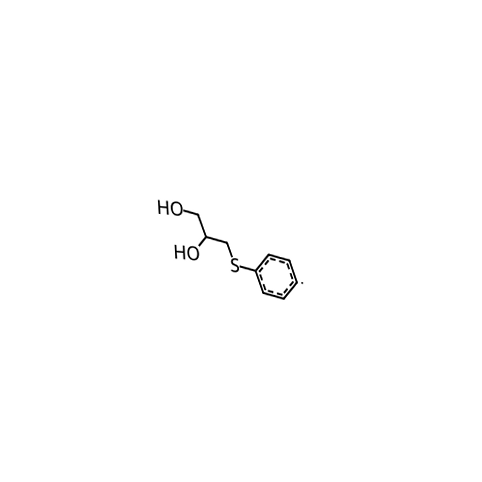 OCC(O)CSc1cc[c]cc1